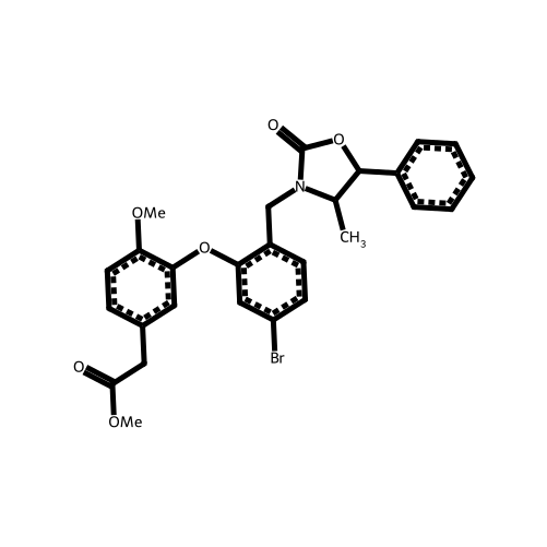 COC(=O)Cc1ccc(OC)c(Oc2cc(Br)ccc2CN2C(=O)OC(c3ccccc3)C2C)c1